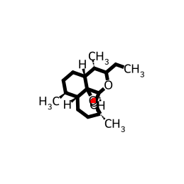 CCC1O[C@H]2O[C@]3(C)CC[C@@H]4[C@@H](C)CC[C@H]([C@@H]1C)C24OO3